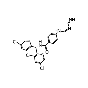 N=C/N=C\Nc1ccc(C(=O)N[C@@H](c2ccc(Cl)cc2)c2ncc(Cl)cc2Cl)cc1